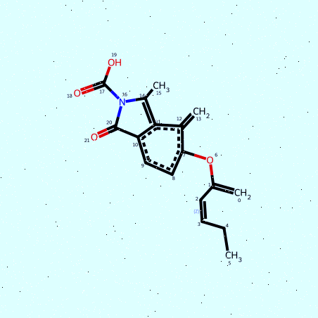 C=C(/C=C\CC)Oc1ccc2c(c1=C)=C(C)N(C(=O)O)C2=O